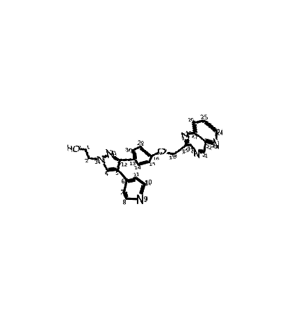 OCCn1cc(-c2ccncc2)c(-c2ccc(OCc3ncc4ncccc4n3)cc2)n1